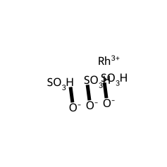 O=S(=O)([O-])O.O=S(=O)([O-])O.O=S(=O)([O-])O.[Rh+3]